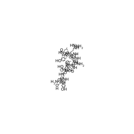 CC(=O)N[C@@H](CC(C)C)C(=O)N[C@@H](Cc1ccc(O)cc1)C(=O)N[C@@H](CCCNC(=N)N)C(=O)N[C@@H](C)C(=O)N[C@@H](CC(N)=O)C(=O)N[C@@H](Cc1ccccc1)C(=O)N[C@H](C(=O)N[C@@H](CO)C(=O)N1CCC[C@H]1C(=O)NCC(=O)N[C@@H](Cc1ccc(O)cc1)C(=O)N[C@@H](CO)C(N)=O)[C@@H](S)C(=O)O